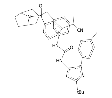 Cc1ccc(-n2nc(C(C)(C)C)cc2NC(=O)Nc2cccc(CC3CC4CCC(C3)N4C(=O)c3cccc(C(C)C#N)c3)c2)cc1